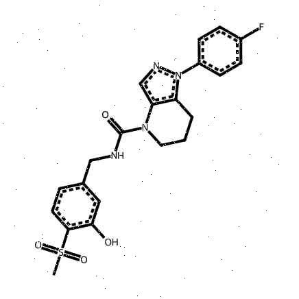 CS(=O)(=O)c1ccc(CNC(=O)N2CCCc3c2cnn3-c2ccc(F)cc2)cc1O